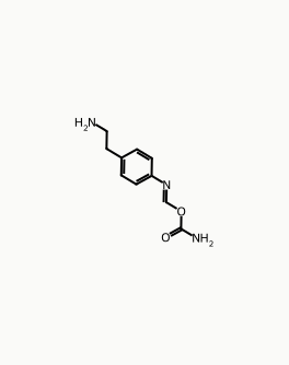 NCCc1ccc(N=COC(N)=O)cc1